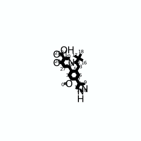 COc1cc2c(cc1-c1cn[nH]c1)CC(C(C)(C)C)n1cc(C(=O)O)c(=O)cc1-2